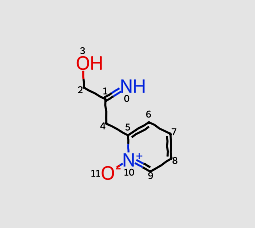 N=C(CO)Cc1cccc[n+]1[O-]